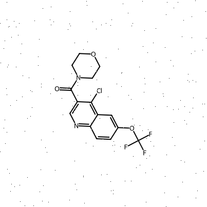 O=C(c1cnc2ccc(OC(F)(F)F)cc2c1Cl)N1CCOCC1